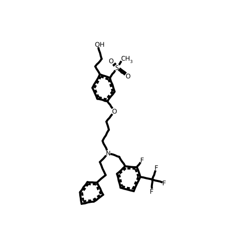 CS(=O)(=O)c1cc(OCCCN(CCc2ccccc2)Cc2cccc(C(F)(F)F)c2F)ccc1CCO